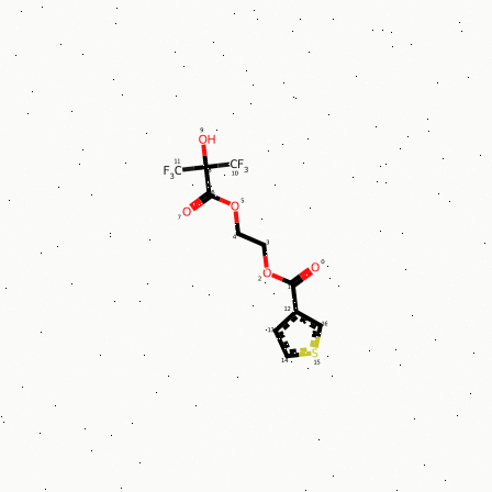 O=C(OCCOC(=O)C(O)(C(F)(F)F)C(F)(F)F)c1ccsc1